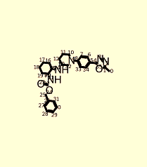 Cc1nnc(-c2ccc(N3CCC[C@H](N[C@@H]4CCCC[C@H]4NC(=O)OCc4ccccc4)C3)cc2)o1